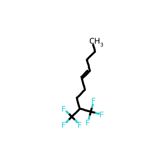 CCCC=CCCC(C(F)(F)F)C(F)(F)F